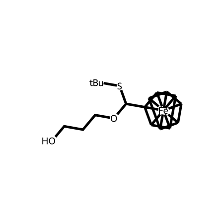 CC(C)(C)SC(OCCCO)[C]12[CH]3[CH]4[CH]5[CH]1[Fe]45321678[CH]2[CH]1[CH]6[CH]7[CH]28